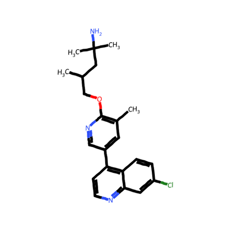 Cc1cc(-c2ccnc3cc(Cl)ccc23)cnc1OCC(C)CC(C)(C)N